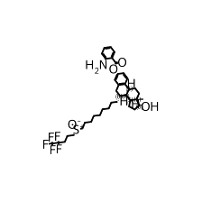 C[C@]12CC[C@@H]3c4ccc(OC(=O)c5ccccc5N)cc4C[C@@H](CCCCCCCCC[S+]([O-])CCCC(F)(F)C(F)(F)F)[C@H]3[C@@H]1CC[C@@H]2O